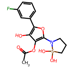 CC(=O)Oc1c(N2CCCS2(O)O)oc(-c2cccc(F)c2)c1O